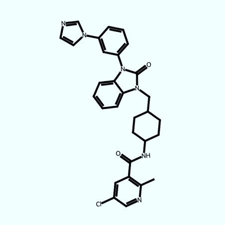 Cc1ncc(Cl)cc1C(=O)NC1CCC(Cn2c(=O)n(-c3cccc(-n4ccnc4)c3)c3ccccc32)CC1